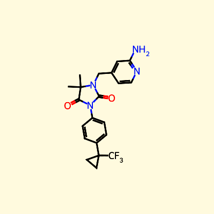 CC1(C)C(=O)N(c2ccc(C3(C(F)(F)F)CC3)cc2)C(=O)N1Cc1ccnc(N)c1